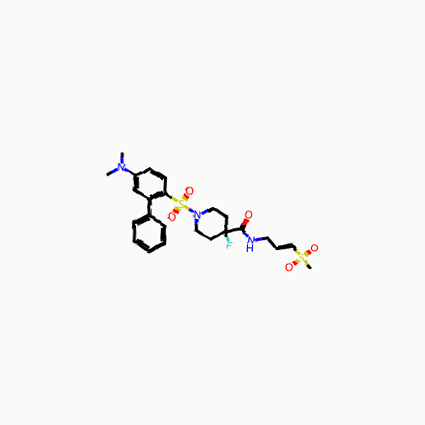 CN(C)c1ccc(S(=O)(=O)N2CCC(F)(C(=O)NC/C=C/S(C)(=O)=O)CC2)c(-c2ccccc2)c1